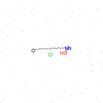 OCC[N+]1(CCCCCCCCCCCCCCCCCCCc2ccccc2)C=NCC1.[Cl-]